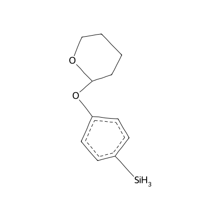 [SiH3]c1ccc(OC2CCCCO2)cc1